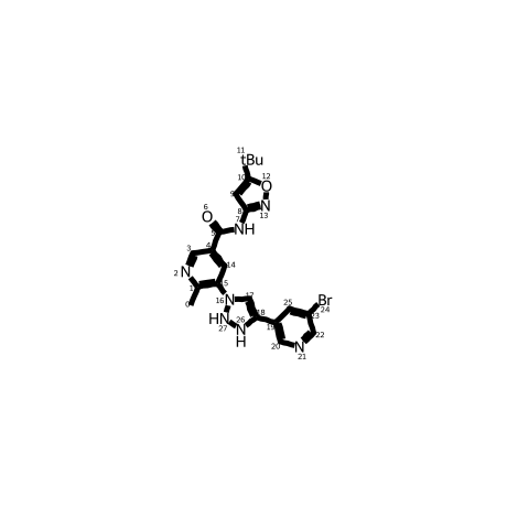 Cc1ncc(C(=O)Nc2cc(C(C)(C)C)on2)cc1N1C=C(c2cncc(Br)c2)NN1